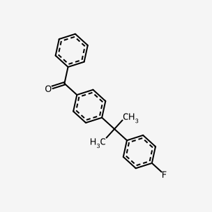 CC(C)(c1ccc(F)cc1)c1ccc(C(=O)c2ccccc2)cc1